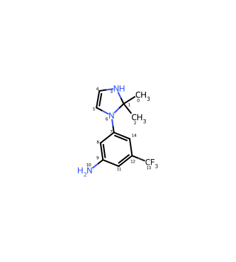 CC1(C)NC=CN1c1cc(N)cc(C(F)(F)F)c1